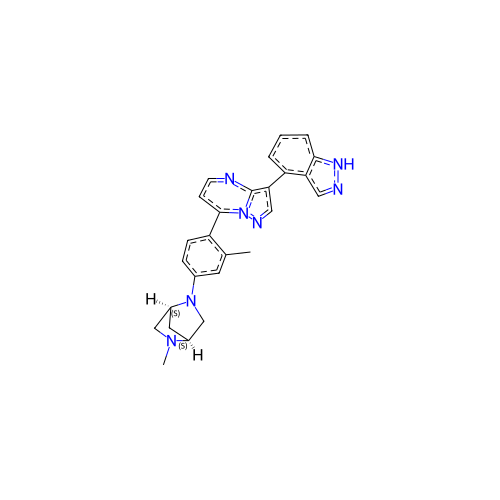 Cc1cc(N2C[C@@H]3C[C@H]2CN3C)ccc1-c1ccnc2c(-c3cccc4[nH]ncc34)cnn12